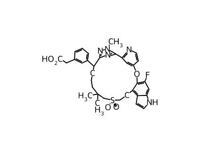 Cn1nc2nc1-c1cc(ccn1)Oc1c(F)cc3[nH]ccc3c1CCS(=O)(=O)CC(C)(C)CCCC2c1cccc(CC(=O)O)c1